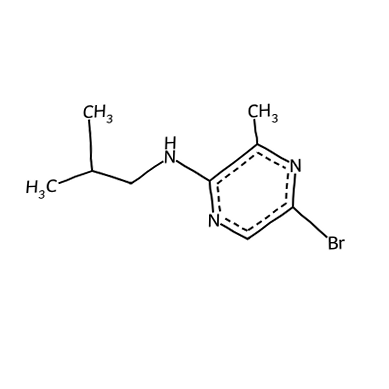 Cc1nc(Br)cnc1NCC(C)C